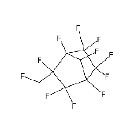 FCC1(F)C(F)(F)C2(F)C(F)C1(F)C(F)(F)C2(F)F